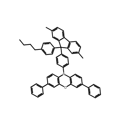 CCCCc1ccc(C2(c3ccc(N4c5ccc(-c6ccccc6)cc5Oc5cc(-c6ccccc6)ccc54)cc3)c3cc(C)ccc3-c3ccc(C)cc32)cc1